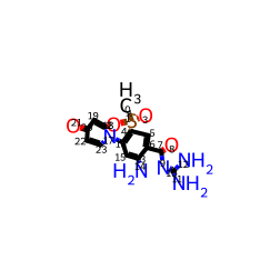 CS(=O)(=O)c1cc(C(=O)N=C(N)N)c(N)cc1-n1ccc(=O)cc1